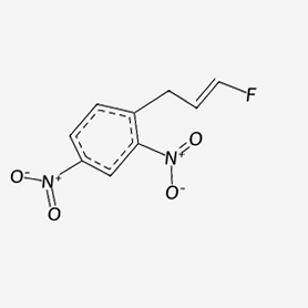 O=[N+]([O-])c1ccc(CC=CF)c([N+](=O)[O-])c1